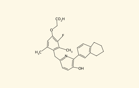 Cc1cc(OCC(=O)O)c(F)c(C)c1Cc1ccc(O)c(-c2ccc3c(c2)CCCC3)n1